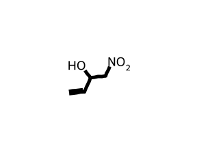 C=CC(O)C[N+](=O)[O-]